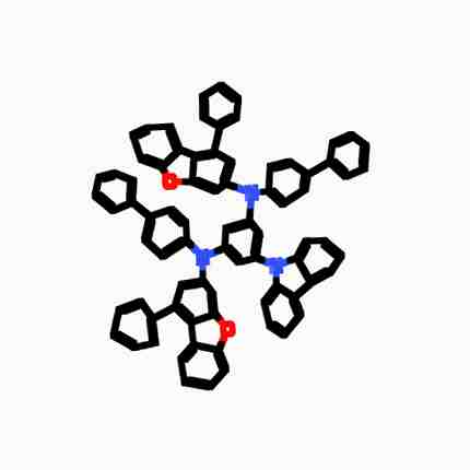 c1ccc(-c2ccc(N(c3cc(N(c4ccc(-c5ccccc5)cc4)c4cc(-c5ccccc5)c5c(c4)oc4ccccc45)cc(-n4c5ccccc5c5ccccc54)c3)c3cc(-c4ccccc4)c4c(c3)oc3ccccc34)cc2)cc1